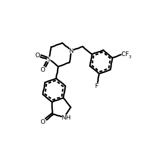 O=C1NCc2cc(C3CN(Cc4cc(F)cc(C(F)(F)F)c4)CCS3(=O)=O)ccc21